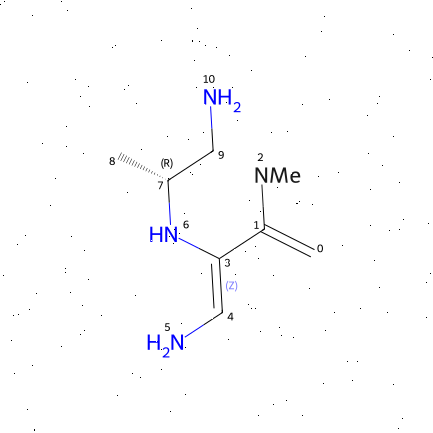 C=C(NC)/C(=C/N)N[C@H](C)CN